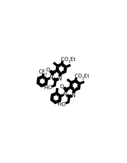 CCOC(=O)c1c(C)cc2nc(CO)n(-c3ccccc3C(F)(F)F)c(=O)c2c1C.CCOC(=O)c1c(C)cc2nc(CO)n(-c3ccccc3C)c(=O)c2c1C